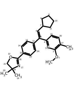 COc1nc(/C(=C\C2CCCC2)c2ccc(C3=NC(C)(C)CO3)cc2)ccc1C